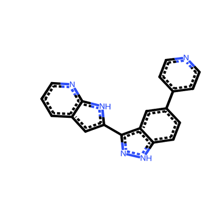 c1cnc2[nH]c(-c3n[nH]c4ccc(-c5ccncc5)cc34)cc2c1